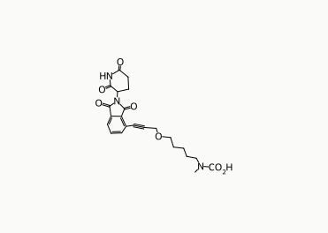 CN(CCCCCOCC#Cc1cccc2c1C(=O)N(C1CCC(=O)NC1=O)C2=O)C(=O)O